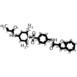 C=CC(=O)NC1CC(C)N(S(=O)(=O)c2ccc(NC(=O)c3cc4ccccc4o3)cc2)C(C)C1